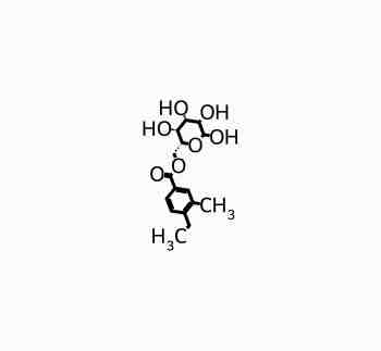 CCc1ccc(C(=O)OC[C@H]2OC(O)[C@H](O)[C@@H](O)[C@H]2O)cc1C